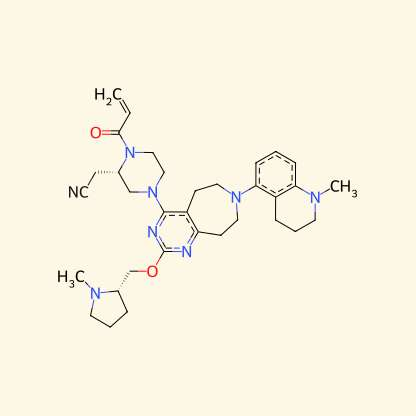 C=CC(=O)N1CCN(c2nc(OC[C@@H]3CCCN3C)nc3c2CCN(c2cccc4c2CCCN4C)CC3)C[C@@H]1CC#N